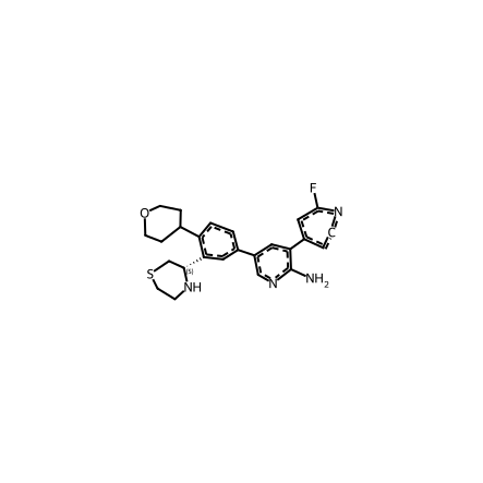 Nc1ncc(-c2ccc(C3CCOCC3)c([C@H]3CSCCN3)c2)cc1-c1ccnc(F)c1